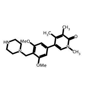 COc1cc(-c2cn(C)c(=O)c(C)c2C)cc(OC)c1CN1CCNCC1